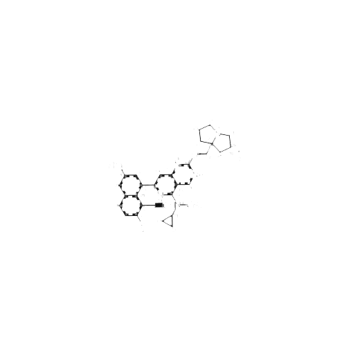 C#Cc1c(F)ccc2cc(O)cc(-c3cc4nc(OC[C@@]56CCCN5C[C@H](F)C6)ncc4c(N(C)C4CC4)n3)c12